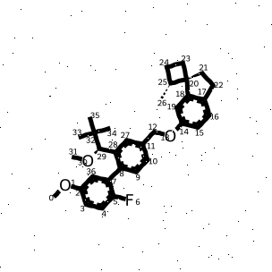 COc1ccc(F)c(-c2ccc(COc3ccc4c(c3)[C@@]3(CC4)CC[C@H]3C)cc2[C@H](OC)C(C)(C)C)c1